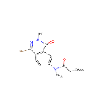 COCC(=O)N(C)c1ccc2c(Br)nn(C(C)C)c(=O)c2c1